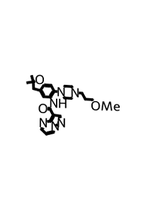 COCCCN1CCN(c2cc3c(cc2NC(=O)c2cnn4cccnc24)CC(C)(C)O3)CC1